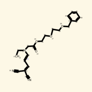 CCN(/C=C/C=C(C#N)C#N)CC(=O)OCCOCCOCc1ccccc1